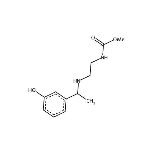 COC(=O)NCCNC(C)c1cccc(O)c1